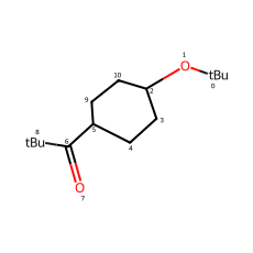 CC(C)(C)OC1CCC(C(=O)C(C)(C)C)CC1